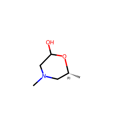 C[C@@H]1CN(C)CC(O)O1